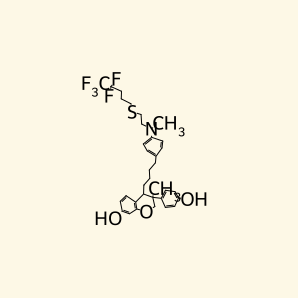 CN(CCSCCCC(F)(F)C(F)(F)F)c1ccc(CCCCC2c3ccc(O)cc3OCC2(C)c2ccc(O)cc2)cc1